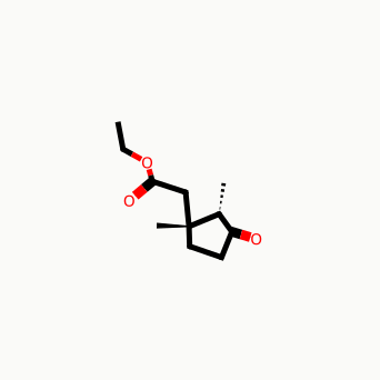 CCOC(=O)C[C@@]1(C)CCC(=O)[C@H]1C